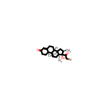 C[C@@H]1C[C@H]2[C@@H]3CCC4=CC(=O)CC[C@]4(C)C3=CC[C@]2(C)[C@@]1(O)C(=O)CBr